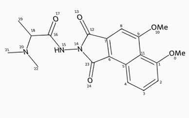 COc1cccc2c3c(cc(OC)c12)C(=O)N(NC(=O)C(C)N(C)C)C3=O